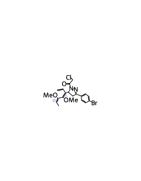 C=C/C(=C(OC)\C(=C/C)OC)C1CC(c2ccc(Br)cc2)=NN1C(=O)CCl